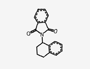 O=C1c2ccccc2C(=O)N1C1CCCc2ccccc21